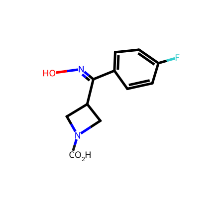 O=C(O)N1CC(/C(=N\O)c2ccc(F)cc2)C1